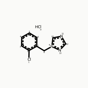 Cl.Clc1ccccc1Cn1cncn1